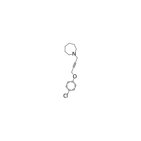 Clc1ccc(OCC#CCN2CCCCCC2)cc1